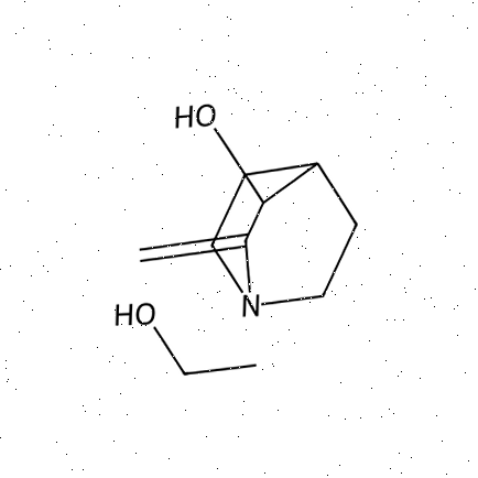 C=C1C(O)C2CCN1CC2.CCO